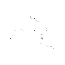 C/N=C1\SCC(=O)N1c1ccccc1